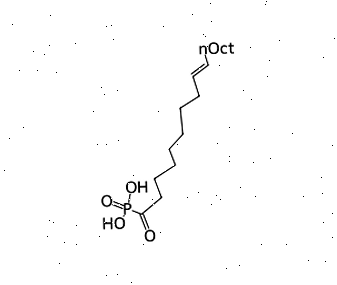 CCCCCCCCC=CCCCCCCCC(=O)P(=O)(O)O